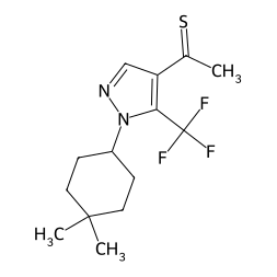 CC(=S)c1cnn(C2CCC(C)(C)CC2)c1C(F)(F)F